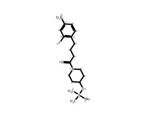 CC(C)(C)[Si](C)(C)OC1CCN(C(=O)CCCc2ccc([N+](=O)[O-])cc2F)CC1